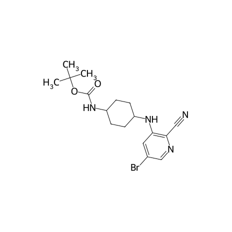 CC(C)(C)OC(=O)NC1CCC(Nc2cc(Br)cnc2C#N)CC1